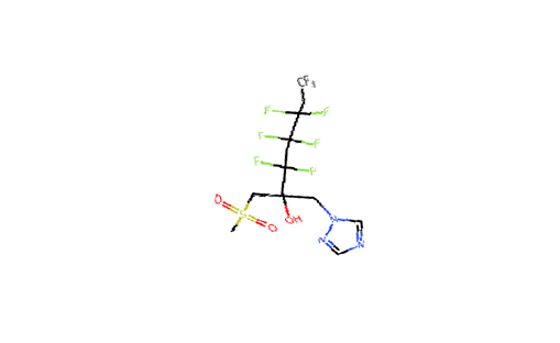 CS(=O)(=O)CC(O)(Cn1cncn1)C(F)(F)C(F)(F)C(F)(F)C(F)(F)F